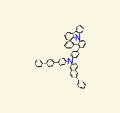 c1ccc(-c2ccc(-c3ccc(N(c4ccc(-c5cccc(-n6c7ccccc7c7ccccc76)c5-c5ccccc5)cc4)c4ccc5cc(-c6ccccc6)ccc5c4)cc3)cc2)cc1